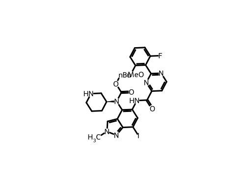 CCCCOC(=O)N(c1c(NC(=O)c2ccnc(-c3c(F)cccc3OC)n2)cc(I)c2nn(C)cc12)[C@H]1CCCNC1